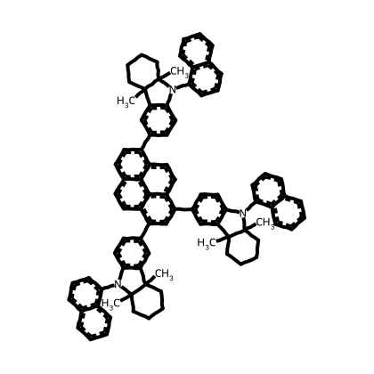 CC12CCCCC1(C)N(c1cccc3ccccc13)c1ccc(-c3ccc4ccc5c(-c6ccc7c(c6)C6(C)CCCCC6(C)N7c6cccc7ccccc67)cc(-c6ccc7c(c6)C6(C)CCCCC6(C)N7c6cccc7ccccc67)c6ccc3c4c56)cc12